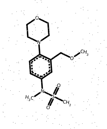 COCc1cc(N(C)S(C)(=O)=O)ccc1N1CCOCC1